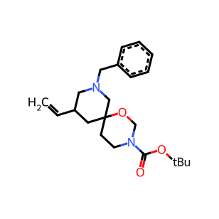 C=CC1CN(Cc2ccccc2)CC2(CCN(C(=O)OC(C)(C)C)CO2)C1